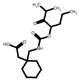 CCCC(OC(=O)NCC1(CC(=O)O)CCCCC1)C(=O)C(C)C